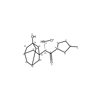 CC1CCN(C(=O)[C@@H](NCl)C23CC4CC(CC(O)(C4)C2)C3)C1